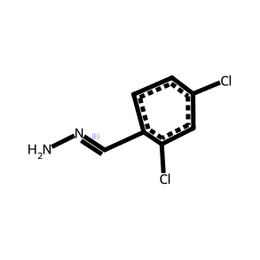 N/N=C/c1ccc(Cl)cc1Cl